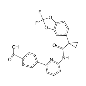 O=C(O)c1ccc(-c2cccc(NC(=O)C3(c4ccc5c(c4)OC(F)(F)O5)CC3)n2)cc1